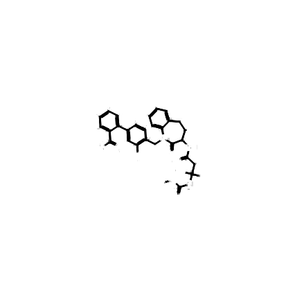 CC(C)(CC(=O)NC1CCc2ccccc2N(Cc2ccc(-c3ccccc3C(N)=O)cc2Br)C1=O)NC(=O)OC(C)(C)C